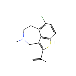 C=C(C)c1sc2ccc(Cl)c3c2c1CN(C)CC3.Cl